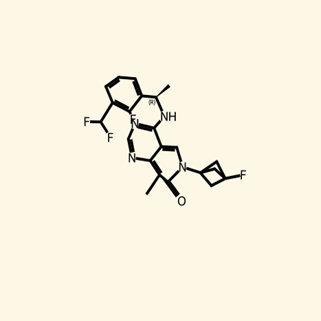 Cc1c(=O)n(C23CC(F)(C2)C3)cc2c(N[C@H](C)c3cccc(C(F)F)c3F)ncnc12